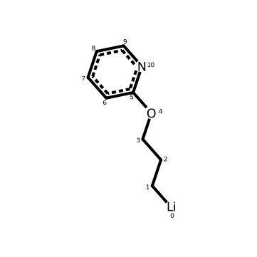 [Li][CH2]CCOc1ccccn1